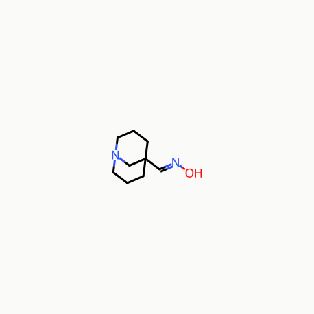 O/N=C/C12CCCN(CCC1)C2